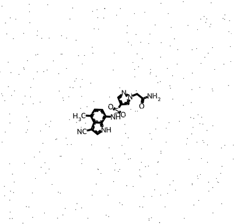 Cc1ccc(NS(=O)(=O)c2cnn(CC(N)=O)c2)c2[nH]cc(C#N)c12